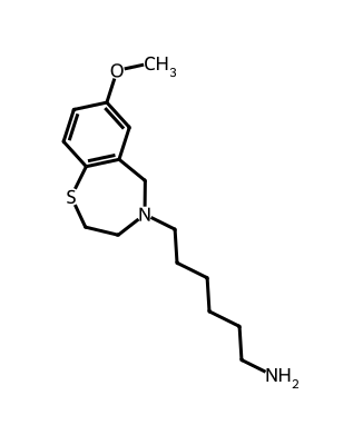 COc1ccc2c(c1)CN(CCCCCCN)CCS2